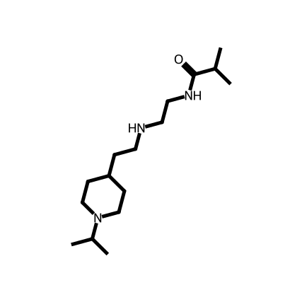 CC(C)C(=O)NCCNCCC1CCN(C(C)C)CC1